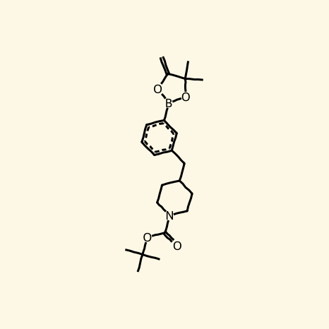 C=C1OB(c2cccc(CC3CCN(C(=O)OC(C)(C)C)CC3)c2)OC1(C)C